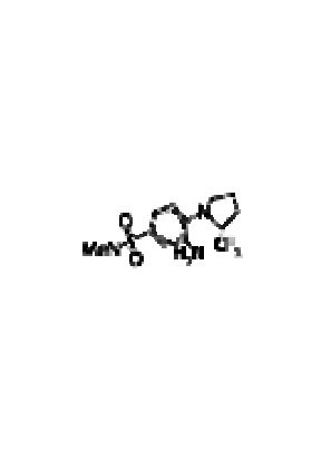 CNS(=O)(=O)c1ccc(N2CCCC2C(F)(F)F)c(N)c1